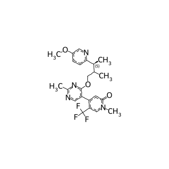 COc1ccc([C@@H](C)C(C)COc2nc(C)ncc2-c2cc(=O)n(C)cc2C(F)(F)F)nc1